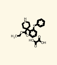 CCOC(=O)C1(c2ccccc2Sc2ccccc2)CCNCC1.O=C(O)C(=O)O